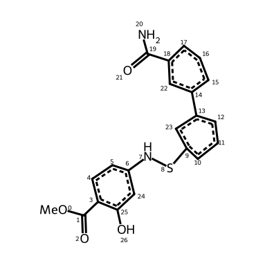 COC(=O)c1ccc(NSc2cccc(-c3cccc(C(N)=O)c3)c2)cc1O